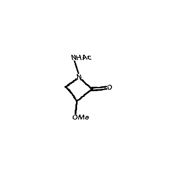 COC1CN(NC(C)=O)C1=O